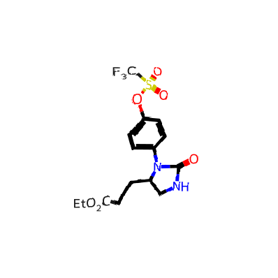 CCOC(=O)CCC1CNC(=O)N1c1ccc(OS(=O)(=O)C(F)(F)F)cc1